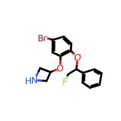 FCC(Oc1ccc(Br)cc1OC1CNC1)c1ccccc1